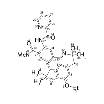 CCOc1cc2c(c3c1OC(C)(C)C3)C(c1ccc(C(=O)NC)c(NC(=O)c3ccccn3)c1)=NC(C)(C)C2